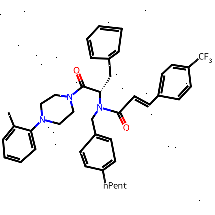 CCCCCc1ccc(CN(C(=O)/C=C/c2ccc(C(F)(F)F)cc2)[C@@H](Cc2ccccc2)C(=O)N2CCN(c3ccccc3C)CC2)cc1